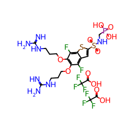 N=C(N)NCCCOc1c(OCCCNC(=N)N)c(F)c2sc(S(=O)(=O)NCP(=O)(O)O)cc2c1F.O=C(O)C(F)(F)F.O=C(O)C(F)(F)F